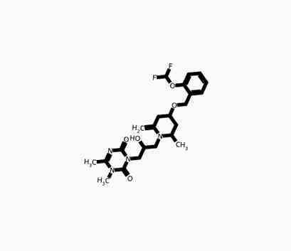 C=C1CC(OCc2ccccc2OC(F)F)CC(C)N1CC(O)Cn1c(=O)nc(C)n(C)c1=O